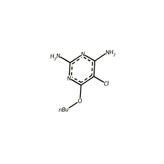 CCCCOc1nc(N)nc(N)c1Cl